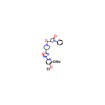 CCOc1ccc(-c2noc(C3CCN(C(=O)C4CC(=O)N(c5ccccc5)C4)CC3)n2)nc1OC